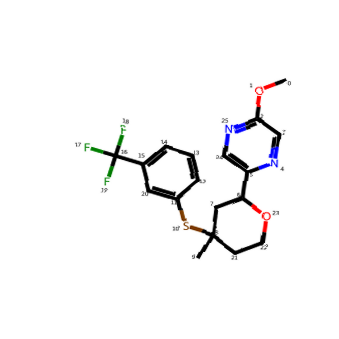 COc1cnc(C2CC(C)(Sc3cccc(C(F)(F)F)c3)CCO2)cn1